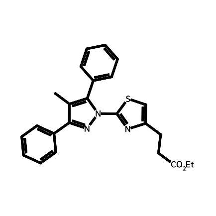 CCOC(=O)CCc1csc(-n2nc(-c3ccccc3)c(C)c2-c2ccccc2)n1